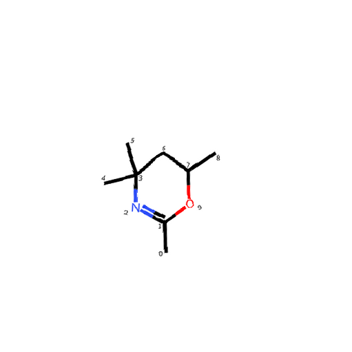 CC1=NC(C)(C)CC(C)O1